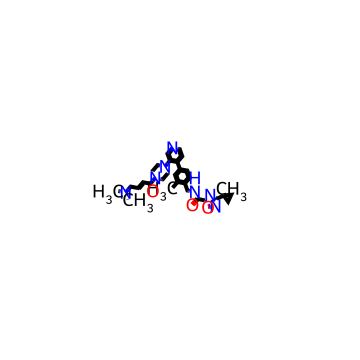 Cc1cc(-c2ccncc2N2CCN(C(=O)/C=C/CN(C)C)CC2)ccc1CNC(=O)c1nc(C2(C)CC2)no1